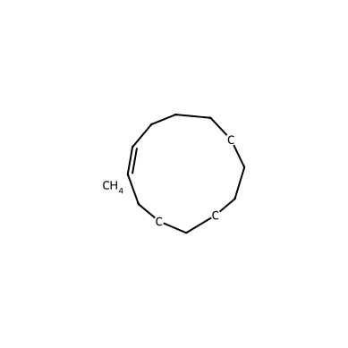 C.C1=CCCCCCCCCCC1